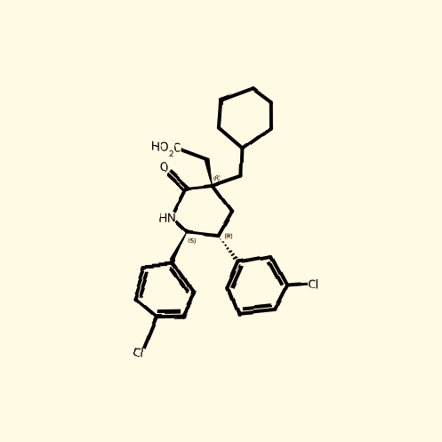 O=C(O)C[C@@]1(CC2CCCCC2)C[C@H](c2cccc(Cl)c2)[C@@H](c2ccc(Cl)cc2)NC1=O